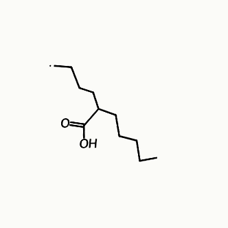 [CH2]CCCC(CCCCC)C(=O)O